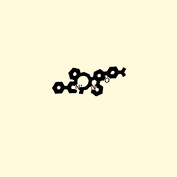 C=C1CC2C(CCc3ccccc3-c3cc(-c4ccccc4)cc[n+]31)c1ccc3c(oc4cc(C(C)C)ccc43)c1-c1cccc[n+]12